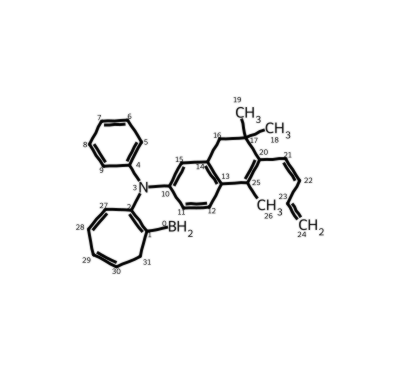 BC1=C(N(c2ccccc2)c2ccc3c(c2)CC(C)(C)C(/C=C\C=C)=C3C)C=CC=CC1